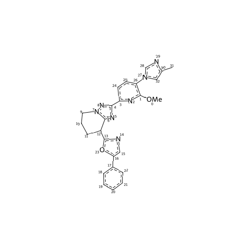 COc1nc(-c2nc3n(n2)CCCC3c2ncc(-c3ccccc3)o2)ccc1-n1cnc(C)c1